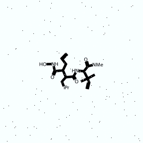 C=CCC(C(=O)NO)C(CC(C)C)C(=O)NC(C(=O)NC)C(C)(C)C=C